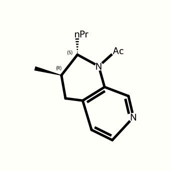 CCC[C@H]1[C@H](C)Cc2ccncc2N1C(C)=O